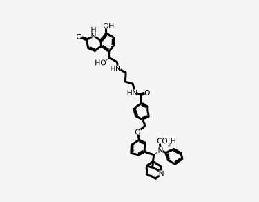 O=C(NCCCNC[C@H](O)c1ccc(O)c2[nH]c(=O)ccc12)c1ccc(COc2cccc([C@@H](C3CN4CCC3CC4)N(C(=O)O)c3ccccc3)c2)cc1